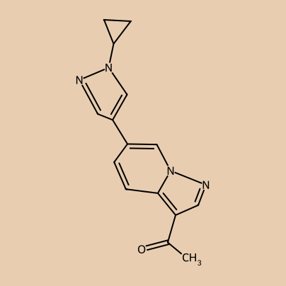 CC(=O)c1cnn2cc(-c3cnn(C4CC4)c3)ccc12